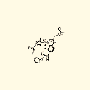 CC(=O)NC[C@H]1CN(S(=O)(=O)c2cn(C(F)F)nc2C)c2cc(NC(=O)OC3CCCC3)ccc2O1